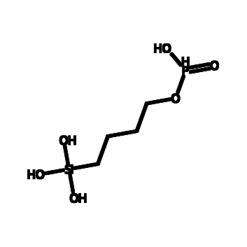 O=[PH](O)OCCCC[Si](O)(O)O